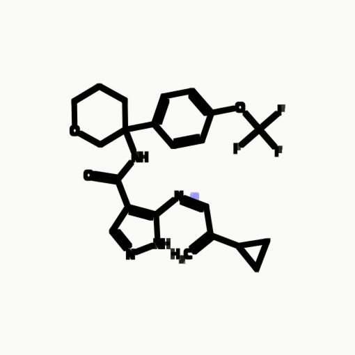 C=C(/C=N\c1[nH]ncc1C(=O)NC1(c2ccc(OC(F)(F)F)cc2)CCCOC1)C1CC1